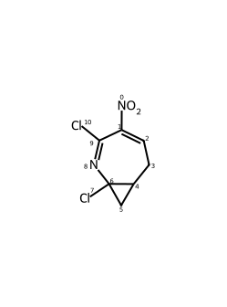 O=[N+]([O-])C1=CCC2CC2(Cl)N=C1Cl